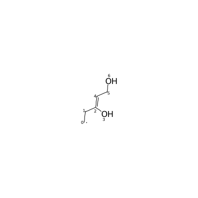 [CH2]CC(O)=CCO